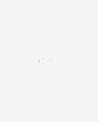 CCOCC(O)CCNCc1ccc(OCC2(C)CC2)cc1